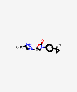 N#CC1(c2ccc(N3C[C@H](Cn4cc(C=O)nn4)OC3=O)cc2)CC1